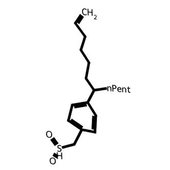 C=CCCCCC(CCCCC)c1ccc(C[SH](=O)=O)cc1